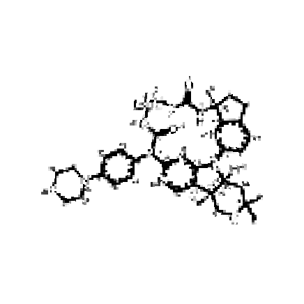 CC(C)(C)OC(=O)N[C@]1(C)CCc2ccc(N3c4nc(N(C(=O)OC(C)(C)C)c5ccc(N6CCOCC6)cc5)ncc4[C@@]4(C)COC(C)(C)C[C@@H]34)nc21